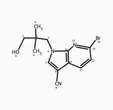 CC(C)(CO)Cn1cc(C#N)c2ccc(Br)nc21